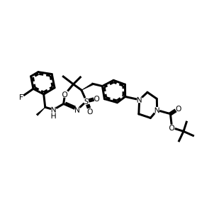 C[C@H](NC1=NS(=O)(=O)[C@H](Cc2ccc(N3CCN(C(=O)OC(C)(C)C)CC3)cc2)C(C)(C)O1)c1ccccc1F